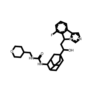 O=C(NCC1CCOCC1)NC1C2CC3CC1CC(C(O)CC1c4c(F)cccc4-c4cncn41)(C3)C2